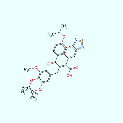 COc1cc(C/C(C(=O)c2ccc(OC(C)C)cc2)=C(\C(=O)O)c2ccc3nsnc3c2)cc(OC(C)C)c1OC(C)C